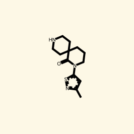 Cc1cc(N2CCCC3(CCNCC3)C2=O)sn1